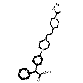 COC(=O)C(c1ccccc1)c1ccc(N2CCN(CCC3CCN(C(=O)OC(C)(C)C)CC3)CC2)cc1